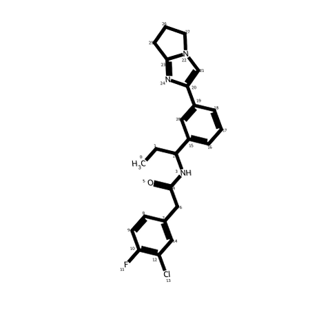 CCC(NC(=O)Cc1ccc(F)c(Cl)c1)c1cccc(-c2cn3c(n2)CCC3)c1